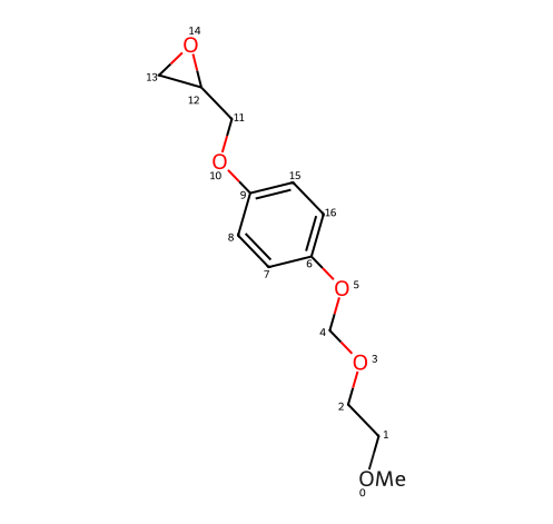 COCCOCOc1ccc(OCC2CO2)cc1